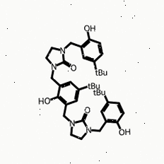 CC(C)(C)c1ccc(O)c(CN2CCN(Cc3cc(C(C)(C)C)cc(CN4CCN(Cc5cc(C(C)(C)C)ccc5O)C4=O)c3O)C2=O)c1